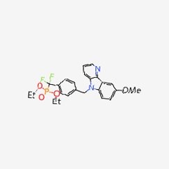 CCOP(=O)(OCC)C(F)(F)c1ccc(Cn2c3ccc(OC)cc3c3ncccc32)cc1